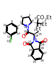 CCOC(=O)C(CC)(CC)[C@H]1CC[C@@H](c2cccc(F)c2)N1C(=O)[C@@H](C)N1C(=O)c2ccccc2C1=O